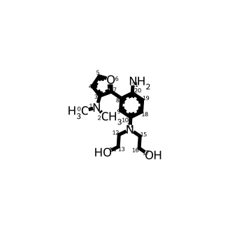 CN(C)c1ccoc1-c1cc(N(CCO)CCO)ccc1N